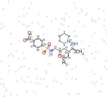 C=C(NN1CCCCC1)[C@@H](CC)C[C@H](O)CNS(=O)(=O)c1ccc([N+](=O)[O-])cc1